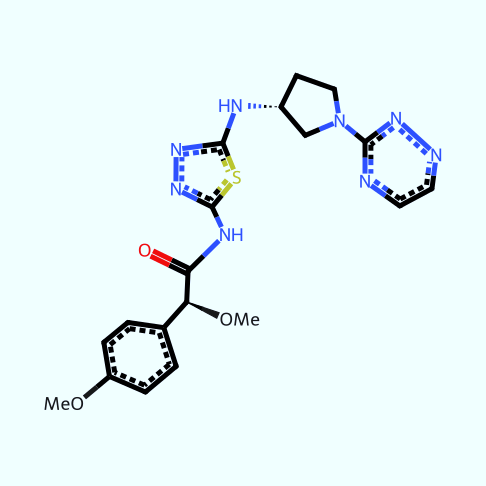 COc1ccc([C@H](OC)C(=O)Nc2nnc(N[C@@H]3CCN(c4nccnn4)C3)s2)cc1